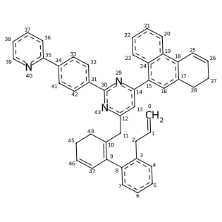 C=CCc1ccccc1C1=C(Cc2cc(-c3cc4c(c5ccccc35)C=CCC4)nc(-c3ccc(-c4ccccn4)cc3)n2)CCC=C1